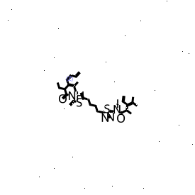 C=C/C=C\C(=C(C)C)C(CC)C(=O)NC(=C)SC(=C)CCCCc1nnc(N(I)C(=O)C(C)C(C=C)=C(C)C)s1